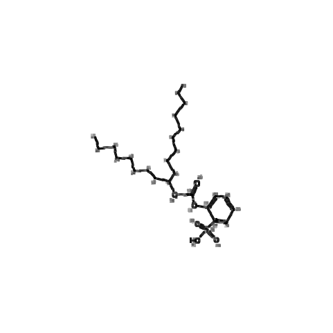 CCCCCCCCCC(CCCCCCCC)OC(=O)Oc1ccccc1S(=O)(=O)O